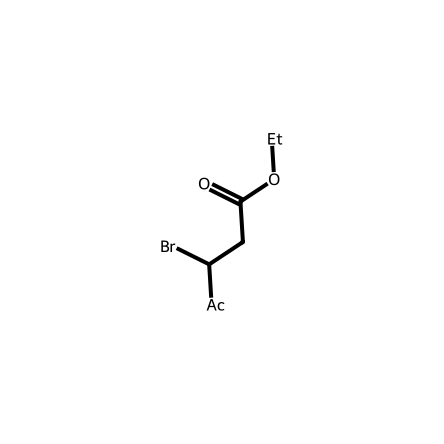 CCOC(=O)CC(Br)C(C)=O